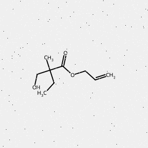 C=CCOC(=O)C(C)(CC)CO